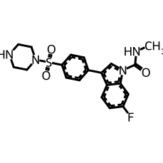 CNC(=O)n1cc(-c2ccc(S(=O)(=O)N3CCNCC3)cc2)c2ccc(F)cc21